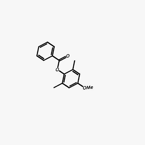 COc1cc(C)c(OC(=O)c2ccccc2)c(C)c1